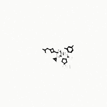 Cc1ccc(NC(=O)[C@H]2C[C@@H](O)C[C@@H]2c2nnc(C3CC(CC(C)C)C3)n2C2CC2)c(C)c1